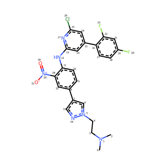 CN(C)CCn1cc(-c2ccc(Nc3cc(-c4ccc(F)cc4F)cc(Cl)n3)c([N+](=O)[O-])c2)cn1